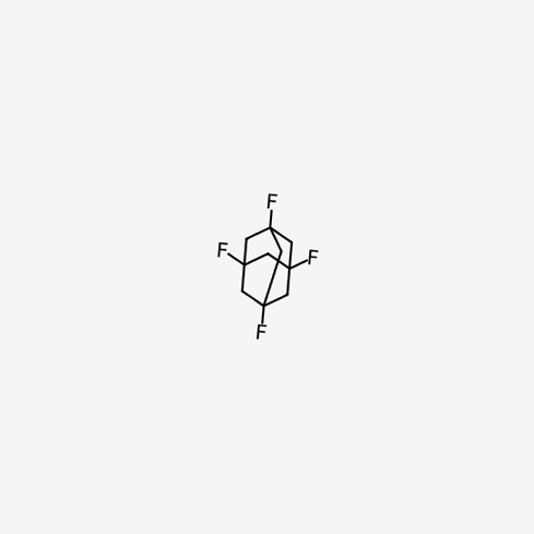 FC12CC3(F)CC(F)(C1)CC(F)(C2)C3